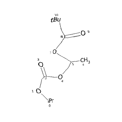 CC(C)OC(=O)OC(C)OC(=O)C(C)(C)C